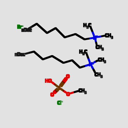 CCCCCCCCCCCCCCCC[N+](C)(C)C.CCCCCCCCCCCCCCCC[N+](C)(C)C.COS(=O)(=O)O.[Br-].[Cl-]